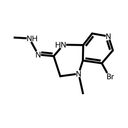 CN/N=C1/CN(C)c2c(Br)cncc2N1